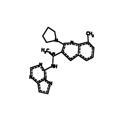 Cc1cccc2cc([C@H](C)Nc3ncnc4ccnn34)c(N3CCCC3)nc12